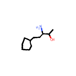 CC(O)C(N)CCC1CCCCC1